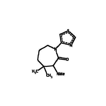 CNC1C(=O)N(c2cscn2)CCCC1(C)C